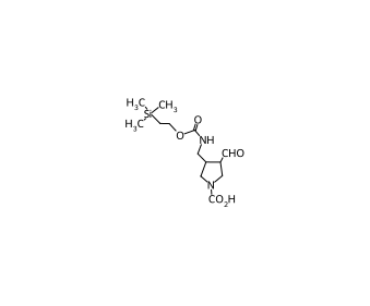 C[Si](C)(C)CCOC(=O)NCC1CN(C(=O)O)CC1C=O